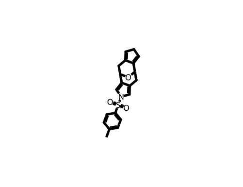 Cc1ccc(S(=O)(=O)n2cc3c(c2)C2CC4=CCC=C4C(C3)O2)cc1